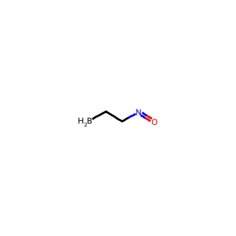 BCCN=O